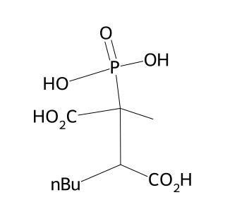 CCCCC(C(=O)O)C(C)(C(=O)O)P(=O)(O)O